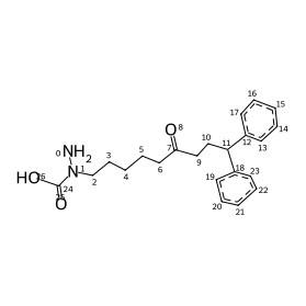 NN(CCCCCC(=O)CCC(c1ccccc1)c1ccccc1)C(=O)O